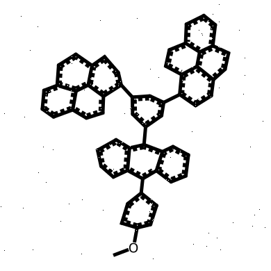 COc1ccc(-c2c3ccccc3c(-c3cc(-c4ccc5ccc6cccc7ccc4c5c67)cc(-c4ccc5ccc6cccc7ccc4c5c67)c3)c3ccccc23)cc1